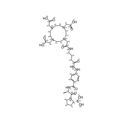 C[C@@H](NC(=O)c1ccc(NNC(=O)CCCNC(=O)CN2CCN(CC(=O)O)CCN(CC(=O)O)CCN(CC(=O)O)CC2)cc1)C(=O)N1CCC[C@H]1B(O)O